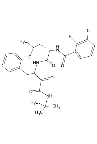 CC(C)C[C@H](NC(=O)c1cccc(Cl)c1F)C(=O)NC(Cc1ccccc1)C(=O)C(=O)NC(C)(C)C